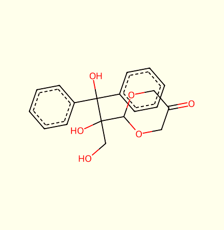 O=C1COC(C(O)(CO)C(O)(c2ccccc2)c2ccccc2)OC1